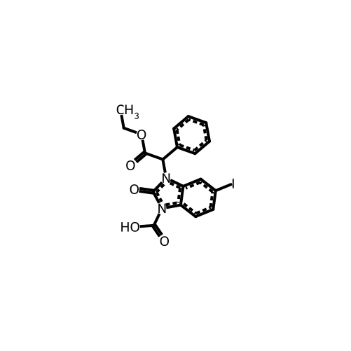 CCOC(=O)C(c1ccccc1)n1c(=O)n(C(=O)O)c2ccc(I)cc21